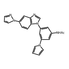 CC(=O)Nc1cc(-n2cccc2)cc(-n2cnc3cc(-n4cccn4)ccc32)c1